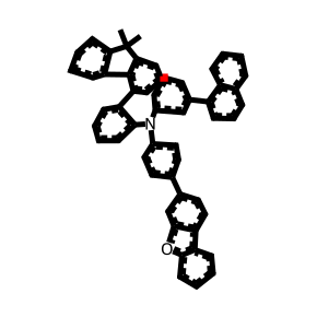 CC1(C)c2ccccc2-c2c(-c3ccccc3N(c3ccc(-c4ccc5c(c4)oc4ccccc45)cc3)c3cccc(-c4cccc5ccccc45)c3)cccc21